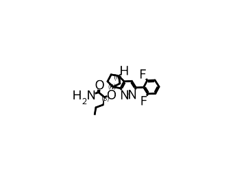 CCC[C@H](O[C@]12CC[C@H](C1)c1cc(-c3c(F)cccc3F)nnc12)C(N)=O